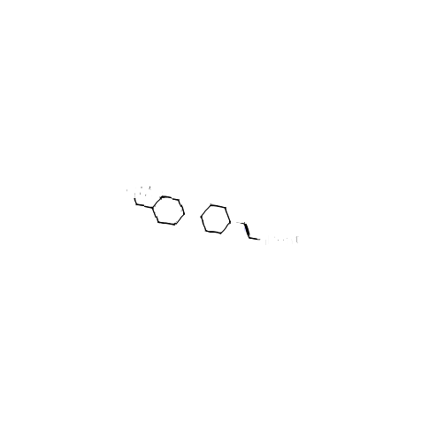 CCCCC/C=C/[C@H]1CC[C@H](C2CCC(COC)CC2)CC1